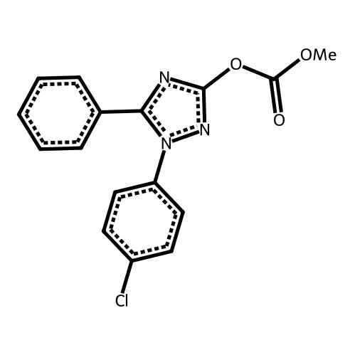 COC(=O)Oc1nc(-c2ccccc2)n(-c2ccc(Cl)cc2)n1